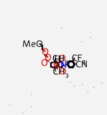 COCCOCOC(=O)[C@H]1C[C@]2(C)O[C@@]1(C)[C@H]1C(=O)N(c3ccc(C#N)c(C(F)(F)F)c3)C(=O)C12